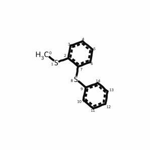 CSc1ccccc1Sc1[c]cccc1